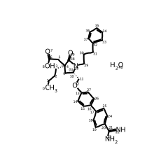 CCCC[C@@]1(CC(=O)O)C[C@@H](COc2ccc(-c3ccc(C(=N)N)cc3)cc2)N(CCCc2ccccc2)C1=O.O